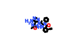 C#Cc1cccc2nc(C(C)Nc3ncnc(N)c3-c3noc(C)n3)n(-c3ccccc3)c(=O)c12